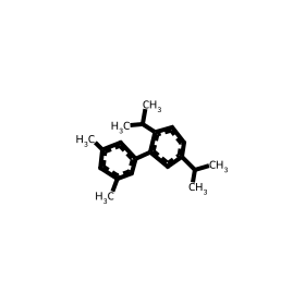 Cc1cc(C)cc(-c2cc(C(C)C)ccc2C(C)C)c1